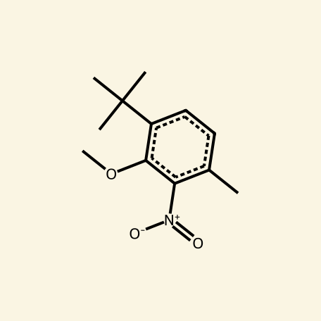 COc1c(C(C)(C)C)ccc(C)c1[N+](=O)[O-]